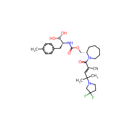 Cc1ccc(C[C@H](NC(=O)OC[C@@H]2CCCCCN2C(=O)/C(C#N)=C/C(C)(C)N2CCC(F)(F)C2)B(O)O)cc1